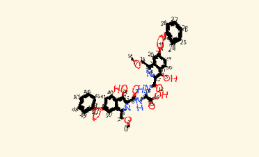 COCc1nc(C(=O)NC(NC(=O)c2nc(COC)c3cc(Oc4ccccc4)ccc3c2O)C(=O)O)c(O)c2ccc(Oc3ccccc3)cc12